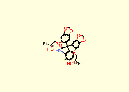 CC[C@@H](O)COc1cc2c(cc1C1(c3cc4c(cc3OC[C@H](O)CC)OCO4)C(=O)Nc3c(F)cccc31)OCO2